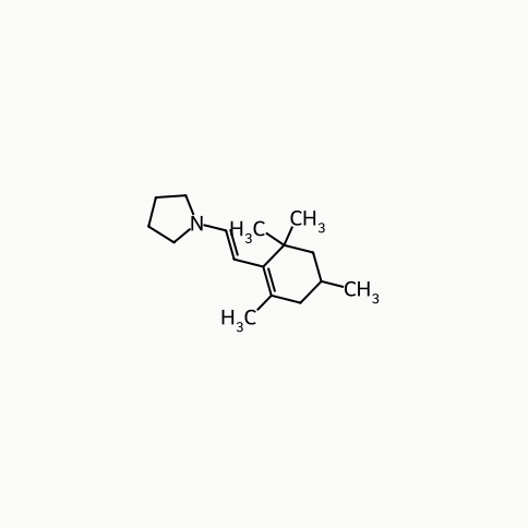 CC1=C(C=CN2CCCC2)C(C)(C)CC(C)C1